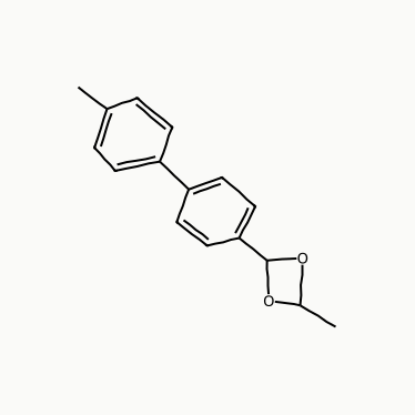 Cc1ccc(-c2ccc(C3OC(C)O3)cc2)cc1